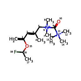 C=C(/C=C(\C)C[N+](C)(C)C(=O)[N+](C)(C)C)OC(C)F